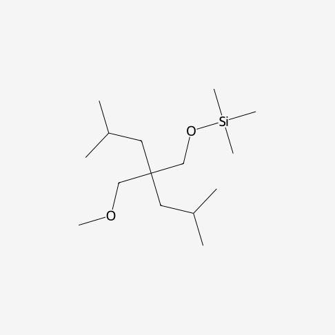 COCC(CO[Si](C)(C)C)(CC(C)C)CC(C)C